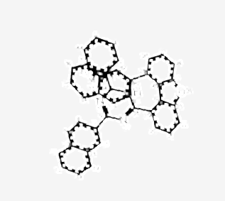 c1ccc(C2N=C(c3ccc4ccccc4c3)N=C(c3cccc4oc5cccc(-c6ccc7ccccc7c6)c5c34)N2)cc1